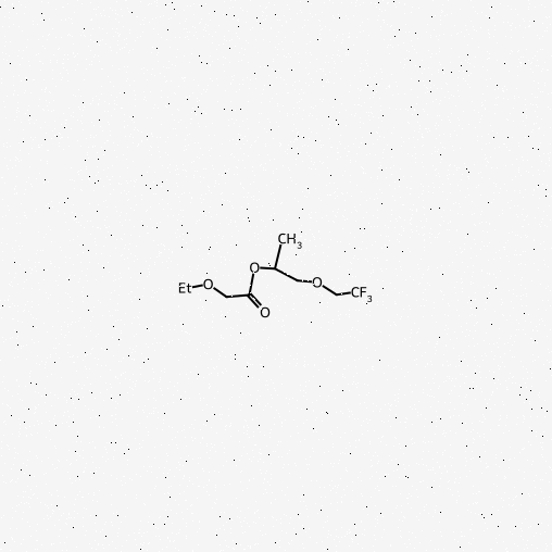 CCOCC(=O)OC(C)COCC(F)(F)F